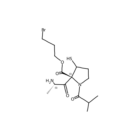 CC(C)C(=O)N1CCC(S)[C@@]1(C(=O)OCCCBr)C(=O)[C@H](C)N